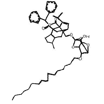 CCCCCCCCCCCCCCCCOC1C2OC3(OCC45CC6C(C)CCC6C6(C=O)CC4C=C(C(C)C)C65C(=O)OC(c4ccccc4)c4ccccc4)OC2OC1C3O